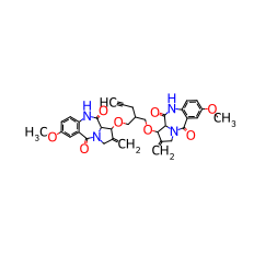 C#CCC(COC1C(=C)CN2C(=O)c3cc(OC)ccc3NC(=O)C12)COC1C(=C)CN2C(=O)c3cc(OC)ccc3NC(=O)C12